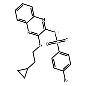 O=S(=O)(Nc1nc2ccccc2nc1OCCC1CC1)c1ccc(Br)cc1